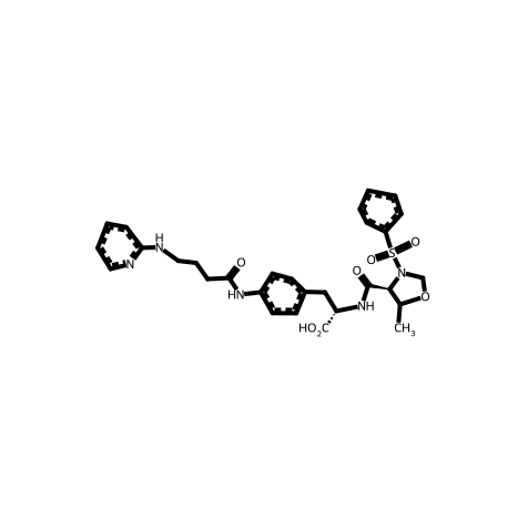 CC1OCN(S(=O)(=O)c2ccccc2)[C@@H]1C(=O)N[C@@H](Cc1ccc(NC(=O)CCCNc2ccccn2)cc1)C(=O)O